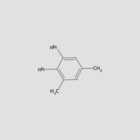 CCCc1cc(C)[c]c(C)c1CCC